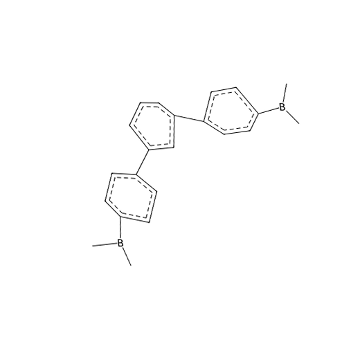 CB(C)c1ccc(-c2cccc(-c3ccc(B(C)C)cc3)c2)cc1